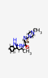 CC(Cc1c[nH]c2ccccc12)NC(=O)c1cnc(N2CCN(C)CC2)s1